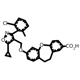 Cc1cccc(Cl)c1-c1noc(C2CC2)c1COc1ccc2c(c1)Oc1ccc(C(=O)O)cc1CC2